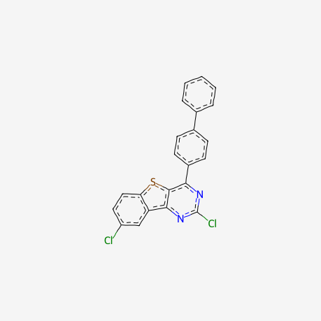 Clc1ccc2sc3c(-c4ccc(-c5ccccc5)cc4)nc(Cl)nc3c2c1